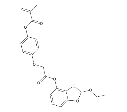 C=C(C)C(=O)Oc1ccc(OCC(=O)Oc2cccc3c2OC(OCC)O3)cc1